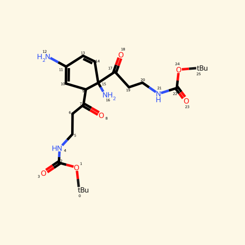 CC(C)(C)OC(=O)NCCC(=O)C1C=C(N)C=CC1(N)C(=O)CCNC(=O)OC(C)(C)C